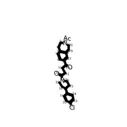 CC(=O)N1CCc2ccc(C(=O)CCC(=O)N3CCC(c4ccc(Cl)cc4)CC3)cc2CC1